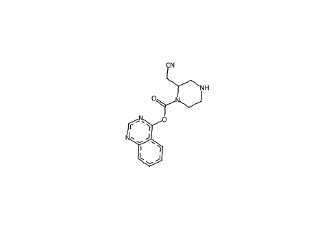 N#CCC1CNCCN1C(=O)Oc1ncnc2ccccc12